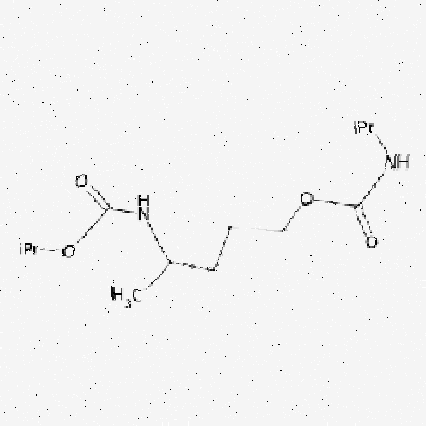 CC(C)NC(=O)OCCCC(C)NC(=O)OC(C)C